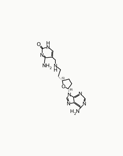 Nc1nc(=O)[nH]cc1CNCC[C@@H]1CC[C@H](n2cnc3c(N)ncnc32)O1